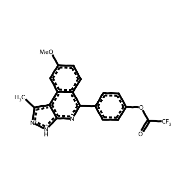 COc1ccc2c(-c3ccc(OC(=O)C(F)(F)F)cc3)nc3[nH]nc(C)c3c2c1